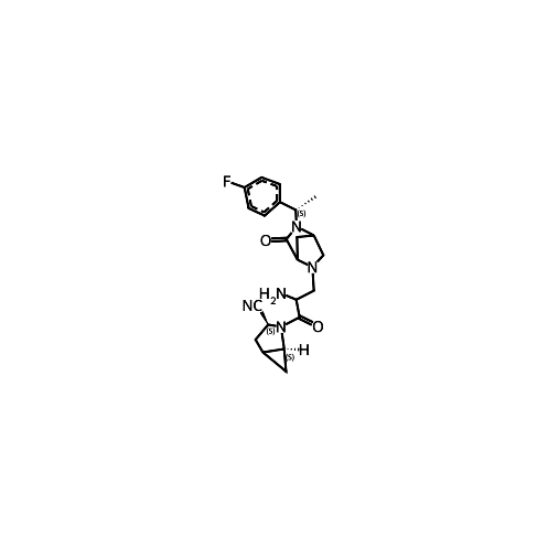 C[C@@H](c1ccc(F)cc1)N1C(=O)C2CC1CN2CC(N)C(=O)N1[C@H](C#N)CC2C[C@@H]21